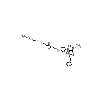 CCCCCCCCCCCCNC(=O)CCCOc1ccc(NC(NC(=O)CCc2cccnc2)C(=O)N(O)CC)cc1